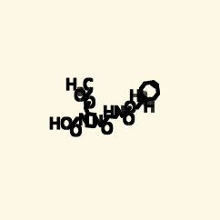 CCC(=O)OCC1CN(C(=O)CCNC(=O)OCC2[C@H]3CCC#CCC[C@@H]23)CCN1CC(=O)O